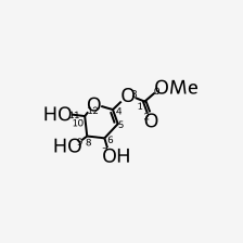 COC(=O)OC1=CC(O)C(O)C(O)O1